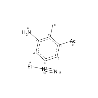 CC(=O)c1cccc(N)c1C.CC[N+]#N